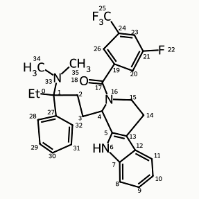 CCC(CCC1c2[nH]c3ccccc3c2CCN1C(=O)c1cc(F)cc(C(F)(F)F)c1)(c1ccccc1)N(C)C